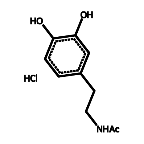 CC(=O)NCCc1ccc(O)c(O)c1.Cl